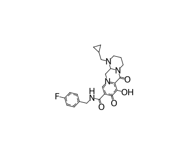 O=C(NCc1ccc(F)cc1)c1cn2c(c(O)c1=O)C(=O)N1CCCN(CC3CC3)C1C2